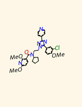 COc1ccc(C(=O)N(CCn2nc(-c3ccncc3)nc2-c2ccc(OC)c(Cl)c2)C2CCCC2)c(OC)n1